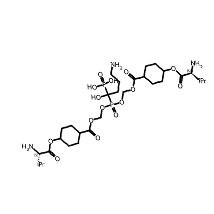 CC(C)[C@H](N)C(=O)OC1CCC(C(=O)OCOP(=O)(OCOC(=O)C2CCC(OC(=O)[C@@H](N)C(C)C)CC2)C(O)(CCCN)P(=O)(O)O)CC1